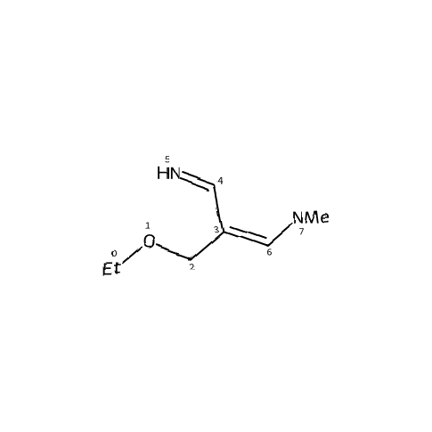 CCOC/C(C=N)=C/NC